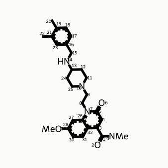 CNC(=O)c1cc(=O)n(CCN2CCC(NCc3ccc(C)c(C)c3)CC2)c2cc(OC)ccc12